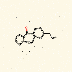 C=CCc1ccc2c(=O)c3ccccc3ccc2c1